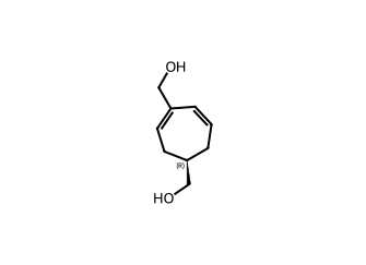 OCC1=CC[C@H](CO)CC=C1